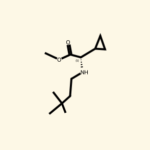 COC(=O)[C@@H](NCCC(C)(C)C)C1CC1